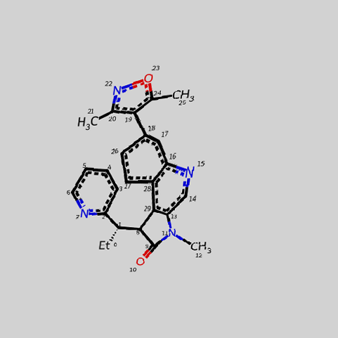 CC[C@H](c1ccccn1)C1C(=O)N(C)c2cnc3cc(-c4c(C)noc4C)ccc3c21